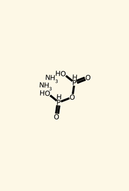 N.N.O=[PH](O)O[PH](=O)O